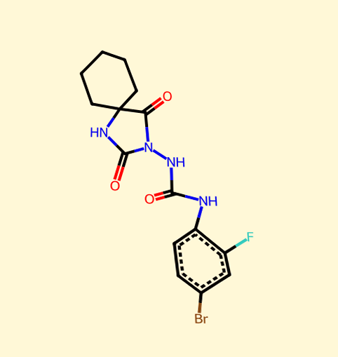 O=C(Nc1ccc(Br)cc1F)NN1C(=O)NC2(CCCCC2)C1=O